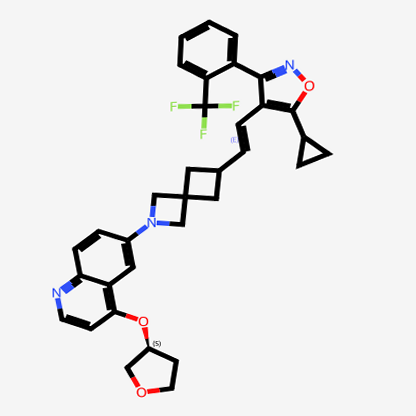 FC(F)(F)c1ccccc1-c1noc(C2CC2)c1/C=C/C1CC2(C1)CN(c1ccc3nccc(O[C@H]4CCOC4)c3c1)C2